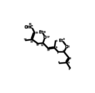 CCOC(C=C(C)C)CC(C)=CC(CC(C)=CC=O)OCC